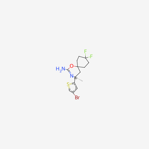 C[C@@]1(c2cc(Br)cs2)CC2(CCC(F)(F)CC2)OC(N)=N1